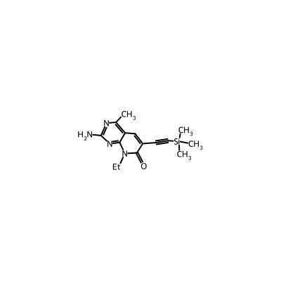 CCn1c(=O)c(C#C[Si](C)(C)C)cc2c(C)nc(N)nc21